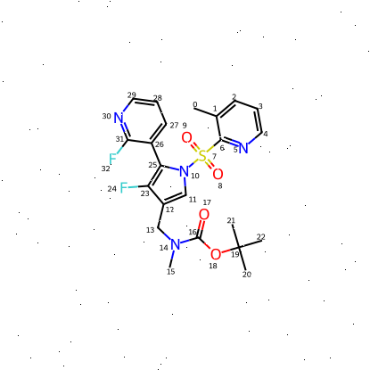 Cc1cccnc1S(=O)(=O)n1cc(CN(C)C(=O)OC(C)(C)C)c(F)c1-c1cccnc1F